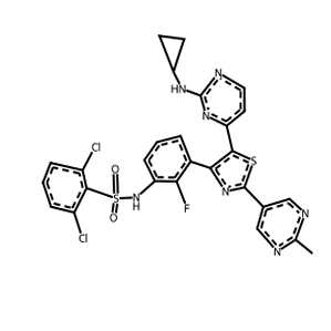 Cc1ncc(-c2nc(-c3cccc(NS(=O)(=O)c4c(Cl)cccc4Cl)c3F)c(-c3ccnc(NC4CC4)n3)s2)cn1